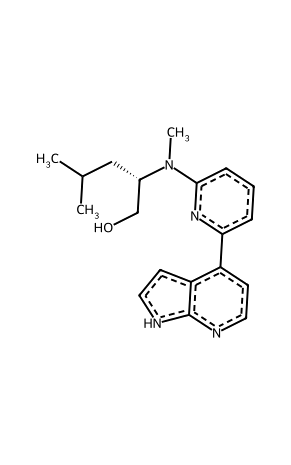 CC(C)C[C@@H](CO)N(C)c1cccc(-c2ccnc3[nH]ccc23)n1